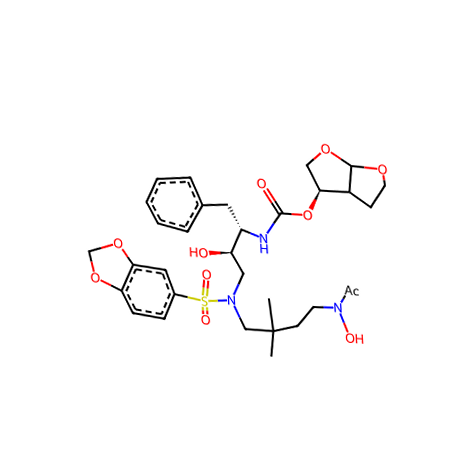 CC(=O)N(O)CCC(C)(C)CN(C[C@@H](O)[C@H](Cc1ccccc1)NC(=O)O[C@H]1COC2OCCC21)S(=O)(=O)c1ccc2c(c1)OCO2